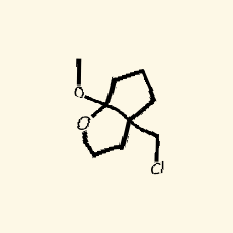 COC12CCCC1(CCl)CCO2